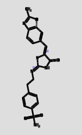 Cc1nc2ccc(/C=C3\S/C(=N/CCc4ccc(S(N)(=O)=O)cc4)NC3=O)cc2o1